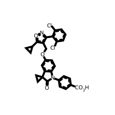 O=C(O)c1ccc(N2C(=O)C3(CC3)c3cc(OCc4c(-c5c(Cl)cccc5Cl)noc4C4CC4)ccc32)cc1